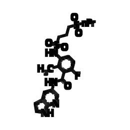 CCCS(=O)(=O)CCCS(=O)(=O)Nc1ccc(F)c(C(=O)Nc2cnc3[nH]ccc3c2)c1C